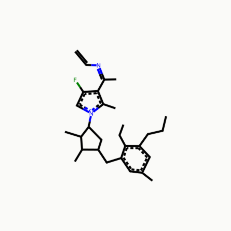 C=C/N=C(/C)c1c(F)cn(C2CC(Cc3cc(C)cc(CCC)c3CC)C(C)C2C)c1C